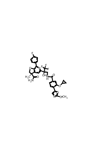 COc1ncc(-c2ccc(C(=O)NC[C@](O)(c3cc4c(c(-c5ccc(F)cc5)n3)OC[C@]4(C)C(N)=O)C(F)(F)F)cc2OC2CC2)s1